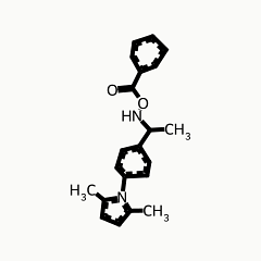 Cc1ccc(C)n1-c1ccc(C(C)NOC(=O)c2ccccc2)cc1